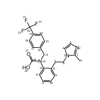 Cc1nccn1CCc1ccccc1N(Cc1ccc(C(F)(F)F)cc1)C(=O)O